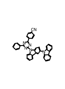 N#Cc1ccc(-c2nc(-c3ccccc3)nc(-n3c4ccccc4c4cc(-n5c6ccccc6c6ccccc65)ccc43)n2)cc1